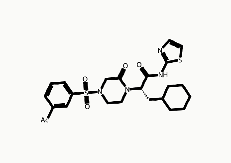 CC(=O)c1cccc(S(=O)(=O)N2CCN([C@@H](CC3CCCCC3)C(=O)Nc3nccs3)C(=O)C2)c1